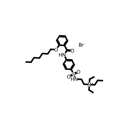 CCCCCCCOc1ccccc1C(=O)Nc1ccc(S(=O)(=O)NCC[N+](CC)(CC)CCC)cc1.[Br-]